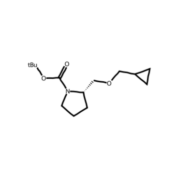 CC(C)(C)OC(=O)N1CCC[C@H]1COCC1CC1